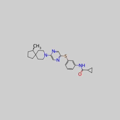 C[C@@H]1CCCC12CCN(c1cnc(Sc3cccc(NC(=O)C4CC4)c3)cn1)CC2